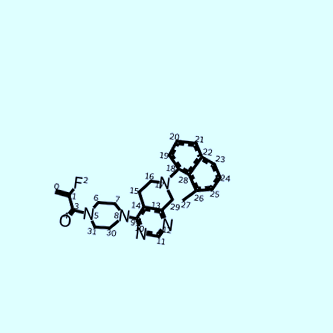 C=C(F)C(=O)N1CCN(c2ncnc3c2CCN(c2cccc4cccc(C)c24)C3)CC1